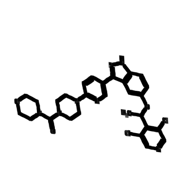 CC(Oc1ccc2[nH]nc(-c3ccc(N4CCN(C(=O)N5CCOCC5)CC4)nc3)c2c1)c1c(Cl)cncc1Cl